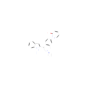 CN1Cc2cc(-n3ccccc3=O)ccc2C(c2cc3ccccc3[nH]2)C1